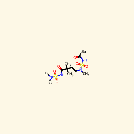 CCN(CC)S(=O)(=O)NC(=O)C(C)(C)CCN(C)S(=O)(=O)NC(=O)C(C)(C)C